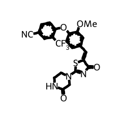 COc1cc(/C=C2\SC(N3CCNC(=O)C3)=NC2=O)ccc1Oc1ccc(C#N)cc1C(F)(F)F